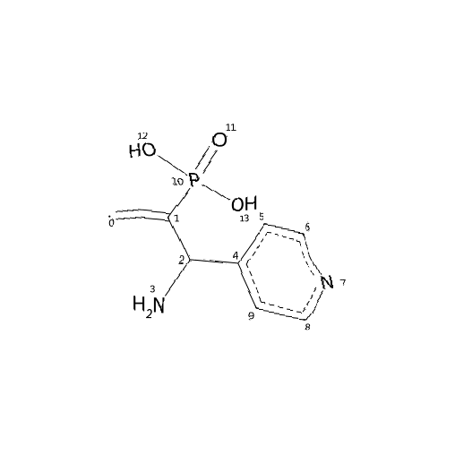 [CH]=C(C(N)c1ccncc1)P(=O)(O)O